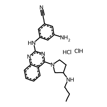 CCCNC1CCN(c2nc(Nc3cc(N)cc(C#N)c3)nc3ccccc23)C1.Cl.Cl